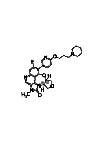 Cn1c(=O)n2c3c4c(c(-c5ccc(OCCCN6CCCCC6)nc5)c(F)cc4ncc31)O[C@@H]1COC[C@H]12